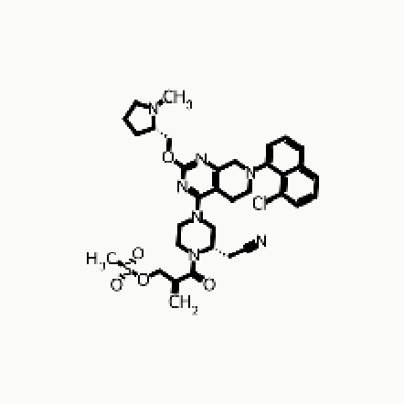 C=C(COS(C)(=O)=O)C(=O)N1CCN(c2nc(OC[C@@H]3CCCN3C)nc3c2CCN(c2cccc4cccc(Cl)c24)C3)C[C@@H]1CC#N